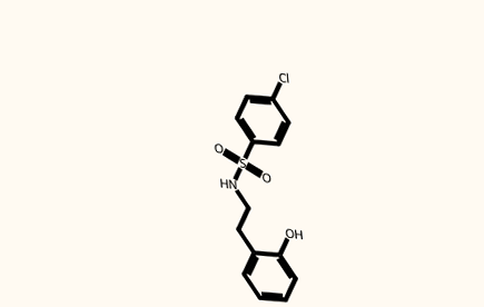 O=S(=O)(NCCc1ccccc1O)c1ccc(Cl)cc1